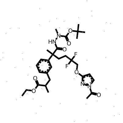 CCOC(=O)C(C)Cc1cccc(C(C)(CCC(F)(F)COc2ccn(C(C)=O)n2)C(=O)NN(C)C(=O)OC(C)(C)C)c1